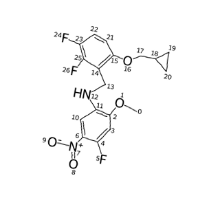 COc1cc(F)c([N+](=O)[O-])cc1NCc1c(OCC2CC2)ccc(F)c1F